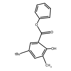 Cc1cc(C(C)(C)C)cc(C(=O)Oc2ccccc2)c1O